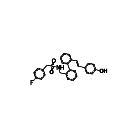 O=S(=O)(Cc1ccc(F)cc1)NCc1ccccc1-c1ccccc1C=Cc1ccc(O)cc1